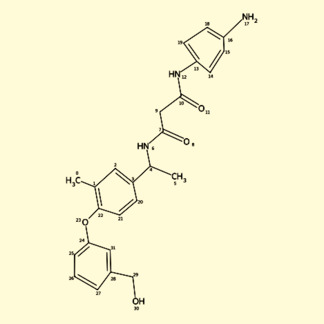 Cc1cc(C(C)NC(=O)CC(=O)Nc2ccc(N)cc2)ccc1Oc1cccc(CO)c1